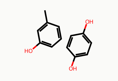 Cc1cccc(O)c1.Oc1ccc(O)cc1